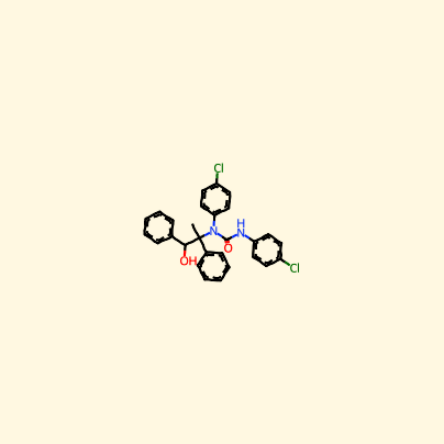 CC(c1ccccc1)(C(O)c1ccccc1)N(C(=O)Nc1ccc(Cl)cc1)c1ccc(Cl)cc1